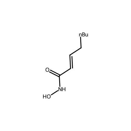 CCCCCC=CC(=O)NO